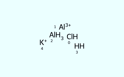 Cl.[Al+3].[AlH3].[HH].[K+]